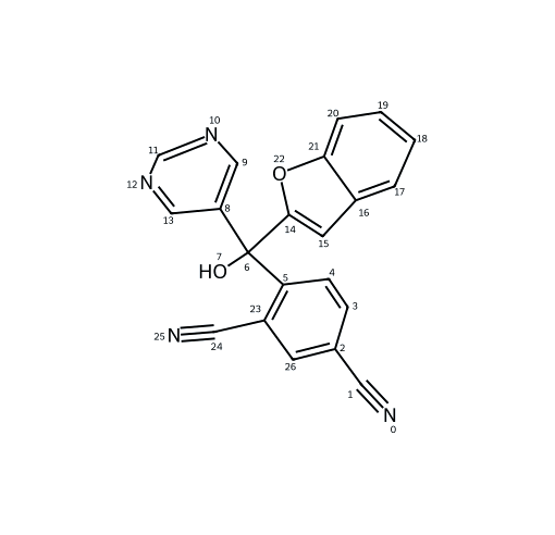 N#Cc1ccc(C(O)(c2cncnc2)c2cc3ccccc3o2)c(C#N)c1